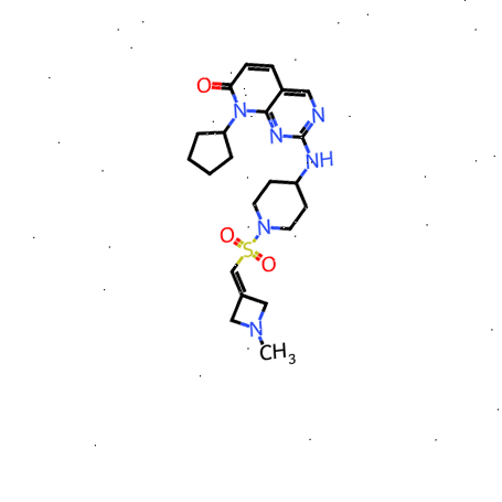 CN1CC(=CS(=O)(=O)N2CCC(Nc3ncc4ccc(=O)n(C5CCCC5)c4n3)CC2)C1